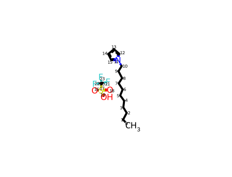 CCCCCCCCCCCn1cccc1.O=S(=O)(O)C(F)(F)F